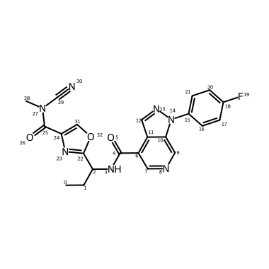 CCC(NC(=O)c1cncc2c1cnn2-c1ccc(F)cc1)c1nc(C(=O)N(C)C#N)co1